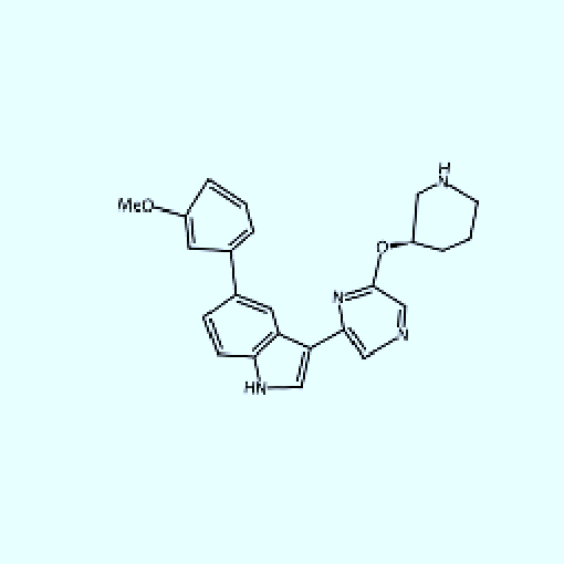 COc1cccc(-c2ccc3[nH]cc(-c4cncc(O[C@@H]5CCCNC5)n4)c3c2)c1